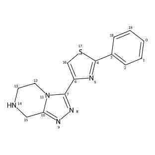 c1ccc(-c2nc(-c3nnc4n3CCNC4)cs2)cc1